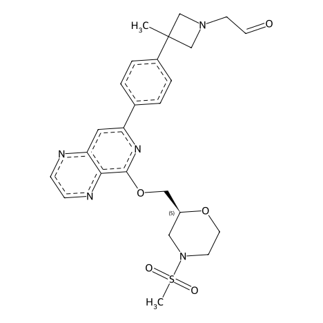 CC1(c2ccc(-c3cc4nccnc4c(OC[C@@H]4CN(S(C)(=O)=O)CCO4)n3)cc2)CN(CC=O)C1